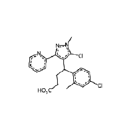 Cc1cc(Cl)ccc1C(CCC(=O)O)c1c(-c2ccccn2)nn(C)c1Cl